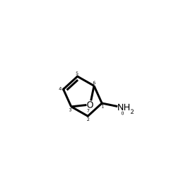 NC1CC2C=CC1O2